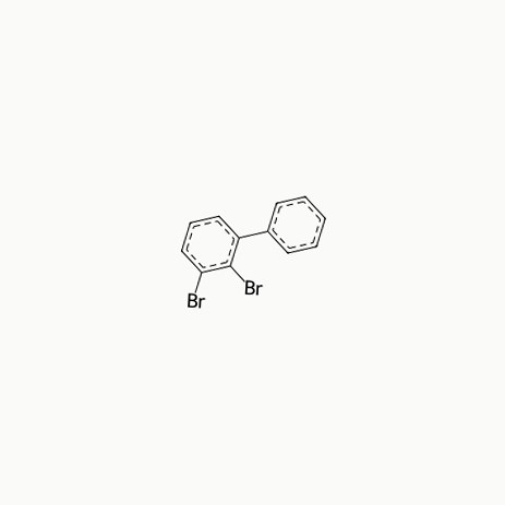 Brc1cccc(-c2ccccc2)c1Br